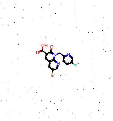 O=C(O)c1cc2cc(Br)cnc2n(Cc2ccc(F)cn2)c1=O